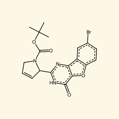 CC(C)(C)OC(=O)N1CC=CC1c1nc2c(oc3ccc(Br)cc32)c(=O)[nH]1